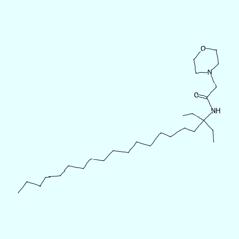 CCCCCCCCCCCCCCCCCC(CC)(CC)NC(=O)CN1CCOCC1